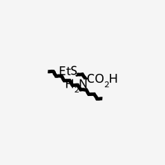 CCCCCCCCCCCCCC.CCSCC[C@H](N)C(=O)O